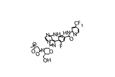 CS(=O)(=O)CC(=O)N1C[C@H](c2nc(-c3ccc(C(=O)Nc4cc(C(F)(F)F)ccn4)cc3F)c3c(N)nccn23)OC[C@H]1CO